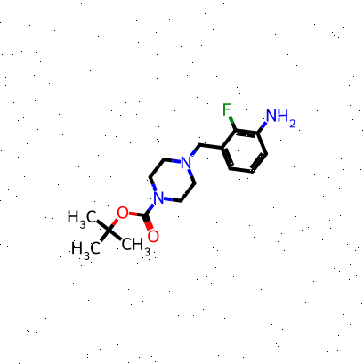 CC(C)(C)OC(=O)N1CCN(Cc2cccc(N)c2F)CC1